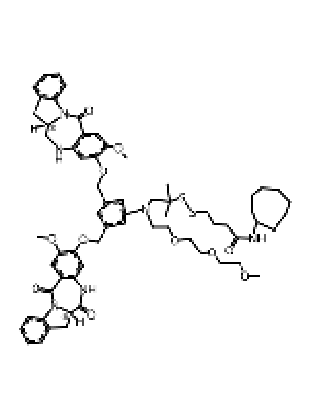 COCCOCCOCCN(CC(C)(C)SSCCCC(=O)NC1CCCCCCC1)c1cc(COc2cc3c(cc2OC)C(=O)N2c4ccccc4C[C@H]2CN3)cc(COc2cc3c(cc2OC)C(=O)N2c4ccccc4C[C@H]2C(=O)N3)c1